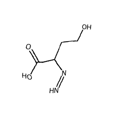 N=NC(CCO)C(=O)O